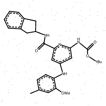 COc1cc(C)ccc1Nc1cc(NC(=O)OC(C)(C)C)nc(C(=O)NC2Cc3ccccc3C2)c1